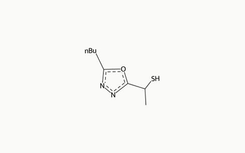 CCCCc1nnc(C(C)S)o1